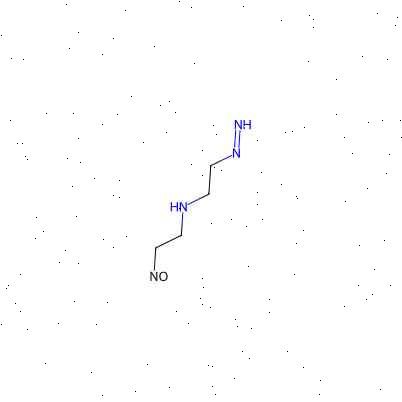 N=NCCNCCN=O